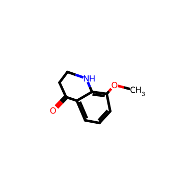 COc1cccc2c1NCCC2=O